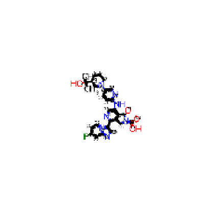 CC(C)(O)C1CCCN(c2ccc(Nc3cnc(-c4cnc5cc(F)ccn45)c4c3C(=O)N(C(=O)O)C4)nc2)C1